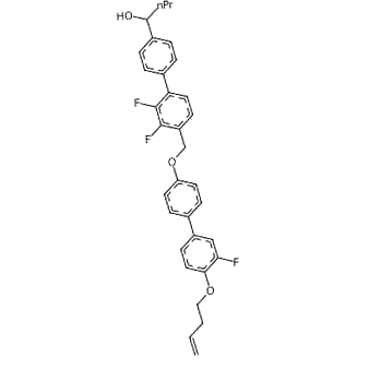 C=CCCOc1ccc(-c2ccc(OCc3ccc(-c4ccc(C(O)CCC)cc4)c(F)c3F)cc2)cc1F